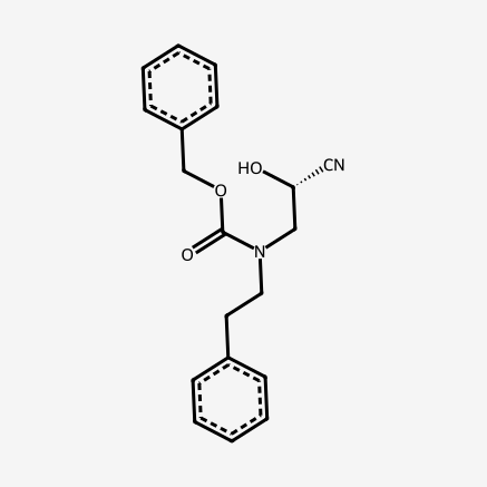 N#C[C@@H](O)CN(CCc1ccccc1)C(=O)OCc1ccccc1